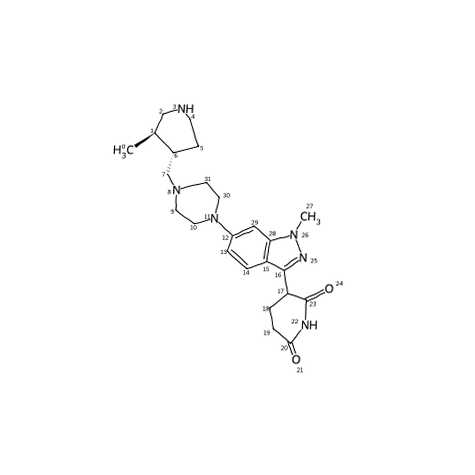 C[C@H]1CNCC[C@@H]1CN1CCN(c2ccc3c(C4CCC(=O)NC4=O)nn(C)c3c2)CC1